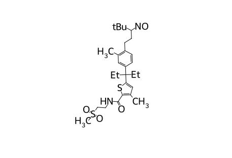 CCC(CC)(c1ccc(CCC(N=O)C(C)(C)C)c(C)c1)c1cc(C)c(C(=O)NCCS(C)(=O)=O)s1